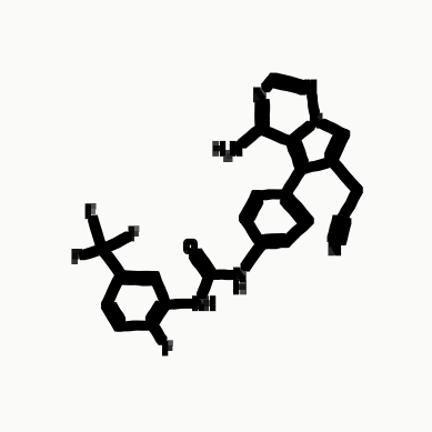 N#CCc1cn2ncnc(N)c2c1-c1ccc(NC(=O)Nc2cc(C(F)(F)F)ccc2F)cc1